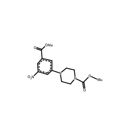 COC(=O)c1cc(N2CCN(C(=O)OC(C)(C)C)CC2)cc([N+](=O)[O-])c1